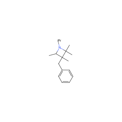 CC(C)N1C(C)C(C)(Cc2ccccc2)C1(C)C